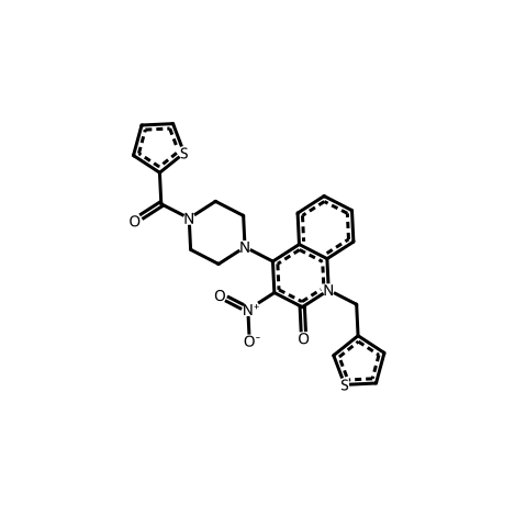 O=C(c1cccs1)N1CCN(c2c([N+](=O)[O-])c(=O)n(Cc3ccsc3)c3ccccc23)CC1